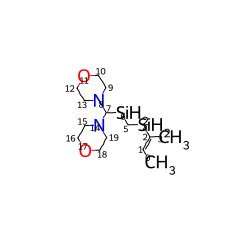 CC=C(C)[SiH2]C[SiH2]C(N1CCOCC1)N1CCOCC1